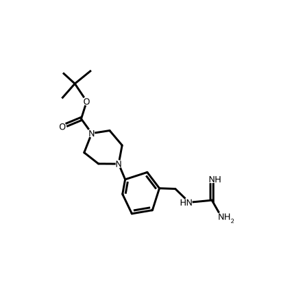 CC(C)(C)OC(=O)N1CCN(c2cccc(CNC(=N)N)c2)CC1